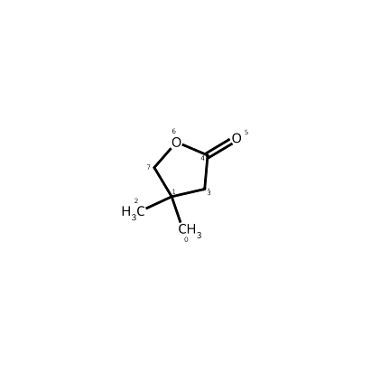 CC1(C)[CH]C(=O)OC1